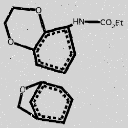 CCOC(=O)Nc1cccc2c1OCCO2.c1cc2cc(c1)OC2